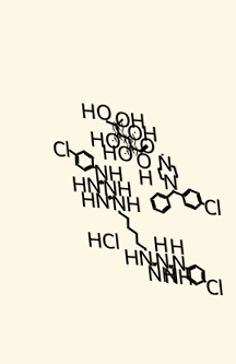 CN1CCN(C(c2ccccc2)c2ccc(Cl)cc2)CC1.Cl.N=C(NCCCCCCNC(=N)NC(=N)Nc1ccc(Cl)cc1)NC(=N)Nc1ccc(Cl)cc1.O=C(O)[C@H](O)[C@@H](O)[C@H](O)[C@H](O)CO